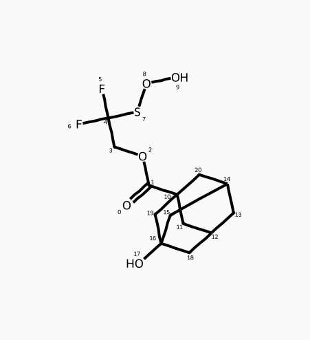 O=C(OCC(F)(F)SOO)C12CC3CC(CC(O)(C3)C1)C2